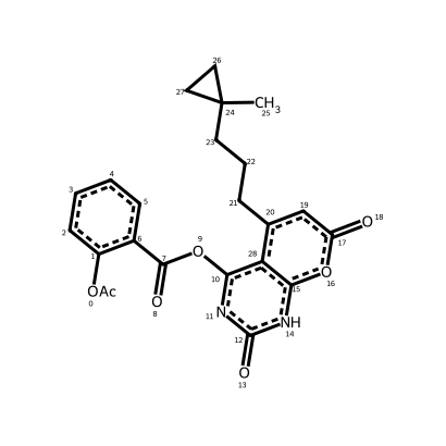 CC(=O)Oc1ccccc1C(=O)Oc1nc(=O)[nH]c2oc(=O)cc(CCCC3(C)CC3)c12